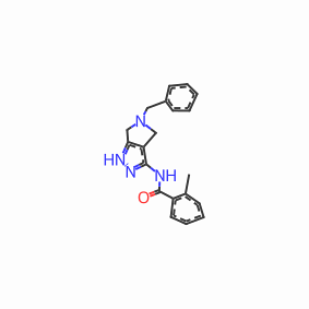 Cc1ccccc1C(=O)Nc1n[nH]c2c1CN(Cc1ccccc1)C2